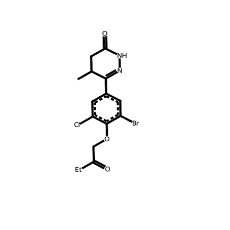 CCC(=O)COc1c(Cl)cc(C2=NNC(=O)CC2C)cc1Br